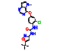 Cn1ccc2ncnc(Oc3ccc(NC(=O)Nc4cc(C(C)(C)C)on4)c(Cl)c3)c21